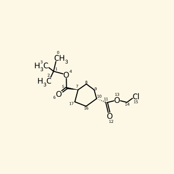 CC(C)(C)OC(=O)[C@H]1CC[C@H](C(=O)OCCl)CC1